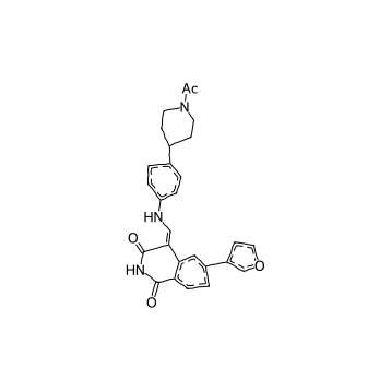 CC(=O)N1CCC(c2ccc(NC=C3C(=O)NC(=O)c4ccc(-c5ccoc5)cc43)cc2)CC1